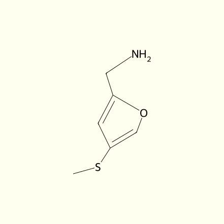 CSc1coc(CN)c1